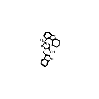 O=C(O)[C@H](Cc1c[nH]c2ccccc12)NS(=O)(=O)c1cccc2oc3c(c12)CCCC3